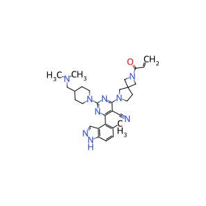 C=CC(=O)N1CC2(CCN(c3nc(N4CCC(CN(C)C)CC4)nc(-c4c(C)ccc5[nH]ncc45)c3C#N)C2)C1